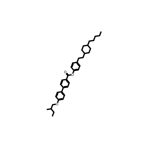 CCCCCC1CCC(CCc2ccc(OC(=O)c3ccc(-c4ccc(OCC(C)CC)cc4)cc3)cc2)CC1